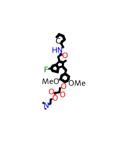 COc1cc(/C=C2/C(C)=C(CC(=O)NCc3ccccc3)c3cc(F)ccc32)cc(OC)c1OCC(=O)C(=O)OCCN(C)C